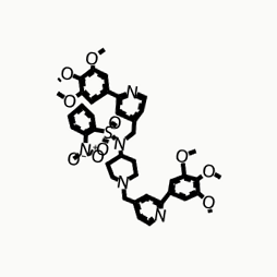 COc1cc(-c2cc(CN3CCC(N(Cc4ccnc(-c5cc(OC)c(OC)c(OC)c5)c4)S(=O)(=O)c4ccccc4[N+](=O)[O-])CC3)ccn2)cc(OC)c1OC